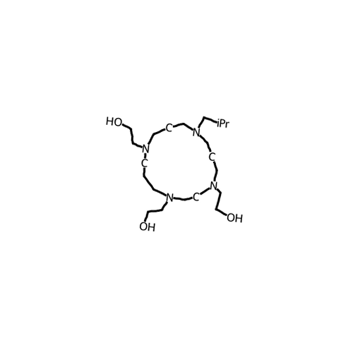 CC(C)CN1CCCN(CCO)CCCN(CCO)CCN(CCO)CCC1